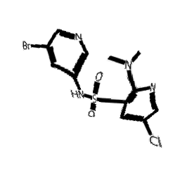 CN(C)c1ncc(Cl)cc1S(=O)(=O)Nc1cncc(Br)c1